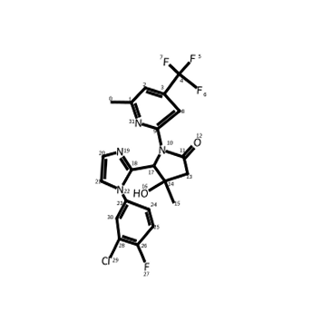 Cc1cc(C(F)(F)F)cc(N2C(=O)CC(C)(O)C2c2nccn2-c2ccc(F)c(Cl)c2)n1